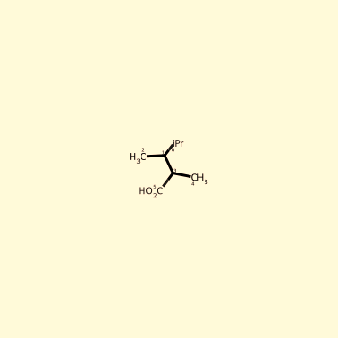 CC(C)C(C)C(C)C(=O)O